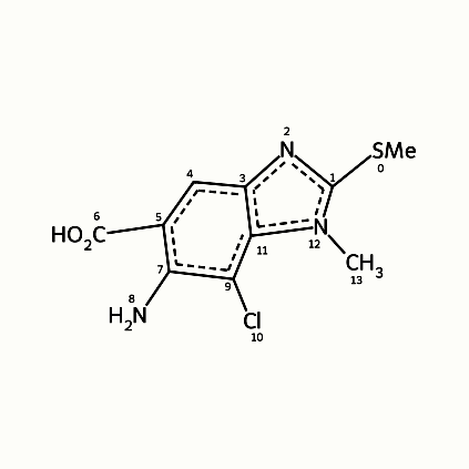 CSc1nc2cc(C(=O)O)c(N)c(Cl)c2n1C